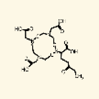 CCC(=O)CCC(C(=O)O)N1CCN(CC(=O)O)CCN(CC(=O)O)CCN(CC(=O)O)CC1